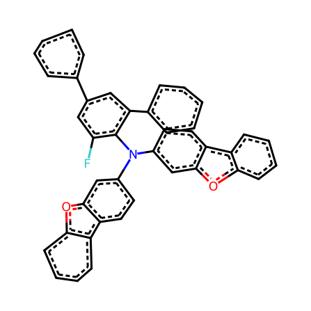 Fc1cc(-c2ccccc2)cc(-c2ccccc2)c1N(c1ccc2c(c1)oc1ccccc12)c1ccc2c(c1)oc1ccccc12